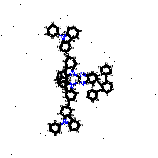 c1ccc(-c2cccc(-c3ccccc3)c2-c2ccc3nc(-n4c5ccccc5c5cc(-c6ccc7c(c6)c6ccccc6n7-c6ccccc6)ccc54)c(-n4c5ccccc5c5cc(-c6ccc7c(c6)c6ccccc6n7-c6ccccc6)ccc54)nc3c2)cc1